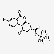 CC(C)(C)OC(=O)N1CC(=O)c2c(oc(=O)c3cc(F)ccc23)C1